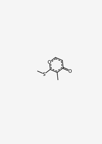 CSc1occc(=O)c1C